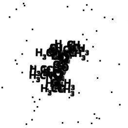 C[Si](C)(C)Nc1cc(S(=O)(=O)c2ccc(O[Si](C)(C)C)c(N[Si](C)(C)C)c2)ccc1O[Si](C)(C)C